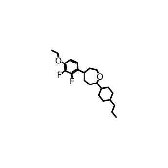 CCCC1CCC(C2CCC(c3ccc(OCC)c(F)c3F)CCO2)CC1